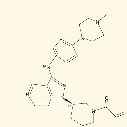 C=CC(=O)N1CCC[C@@H](n2nc(Nc3ccc(N4CCN(C)CC4)cc3)c3cnccc32)C1